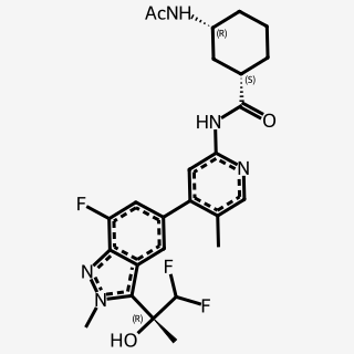 CC(=O)N[C@@H]1CCC[C@H](C(=O)Nc2cc(-c3cc(F)c4nn(C)c([C@@](C)(O)C(F)F)c4c3)c(C)cn2)C1